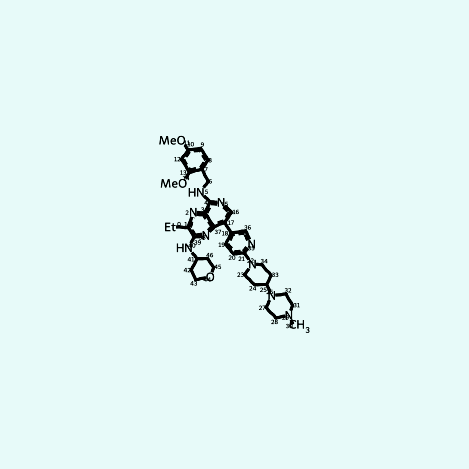 CCc1nc2c(NCc3ccc(OC)cc3OC)ncc(-c3ccc(N4CCC(N5CCN(C)CC5)CC4)nc3)c2nc1NC1CCOCC1